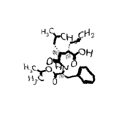 C=CC[C@H](C(=O)O)[C@@H](CC(C)C)C(=O)N[C@@H](Cc1ccccc1)C(=O)OC(C)C